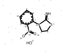 Cl.N=C1SCCN1c1ccccc1[N+](=O)[O-]